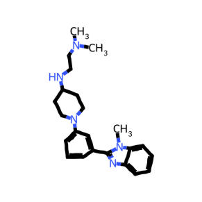 CN(C)CCNC1CCN(c2cccc(-c3nc4ccccc4n3C)c2)CC1